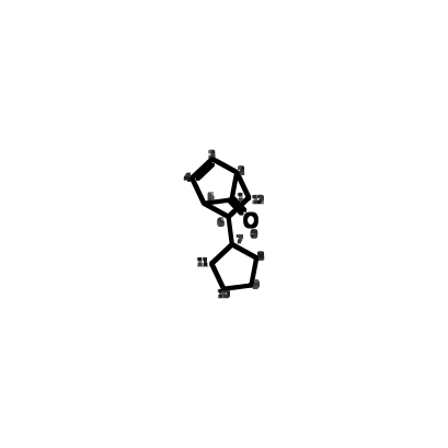 O=C1C2C=CC1C(C1CCCC1)C2